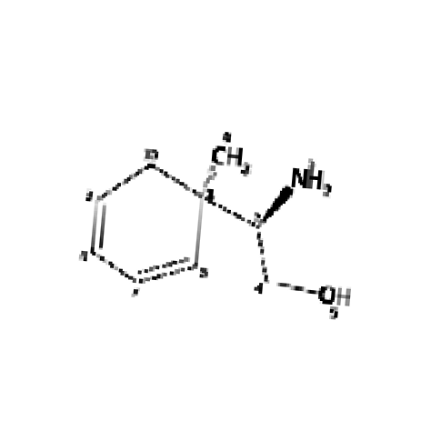 C[C@]1([C@@H](N)CO)C=CC=CC1